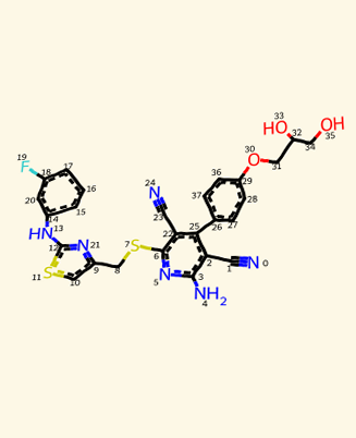 N#Cc1c(N)nc(SCc2csc(Nc3cccc(F)c3)n2)c(C#N)c1-c1ccc(OCC(O)CO)cc1